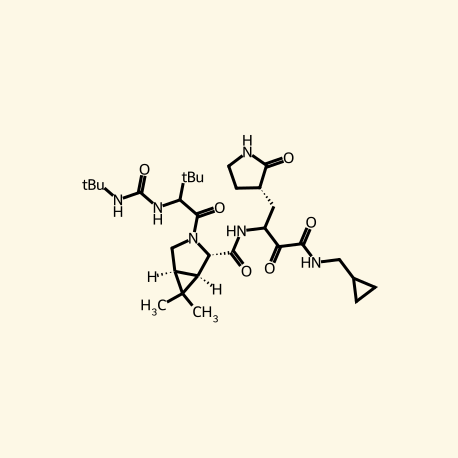 CC(C)(C)NC(=O)NC(C(=O)N1C[C@H]2[C@@H]([C@H]1C(=O)NC(C[C@@H]1CCNC1=O)C(=O)C(=O)NCC1CC1)C2(C)C)C(C)(C)C